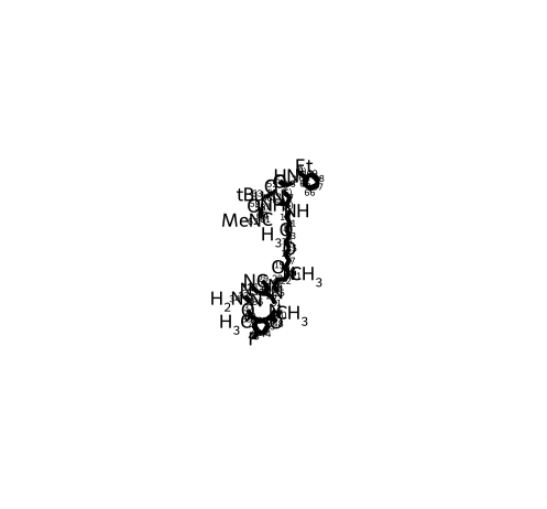 CC[C@@H](NCC(=O)[C@@H]1C[C@H](NCCOCCOCCC(=O)N(C)CCn2nc3c(c2C#N)-c2cnc(N)c(n2)O[C@H](C)c2cc(F)ccc2C(=O)N(C)C3)CN1C(=O)C(NC(=O)[C@H](C)NC)C(C)(C)C)c1ccccc1